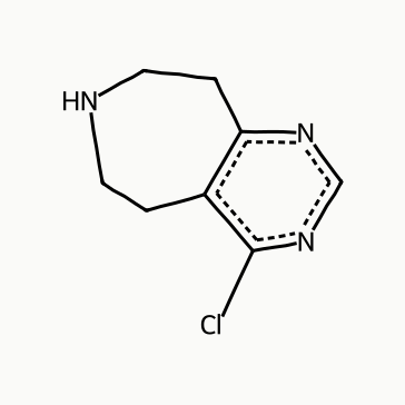 Clc1ncnc2c1CCNCC2